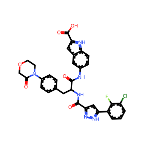 O=C(NC(Cc1ccc(N2CCOCC2=O)cc1)C(=O)Nc1ccc2[nH]c(C(=O)O)cc2c1)c1cc(-c2cccc(Cl)c2F)[nH]n1